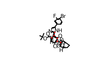 C[C@H](NC(=O)OC(C)(C)C)C(=O)OC1CC2CC[C@H](C1)N2S(=O)(=O)c1cc(-c2ncc(-c3ccc(Br)c(F)c3)[nH]2)ccc1Cl